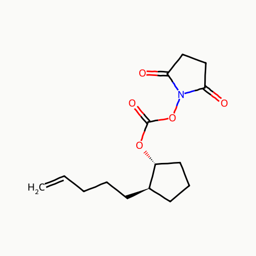 C=CCCC[C@@H]1CCC[C@H]1OC(=O)ON1C(=O)CCC1=O